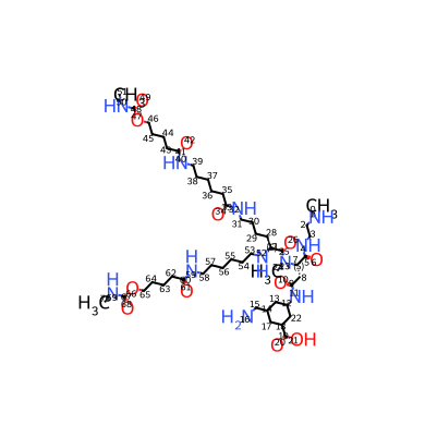 CNCCNC(=O)[C@H](CC(=O)NC1CC(CN)CC(C(=O)O)C1)N(C)C(=O)[C@H](CCCCNC(=O)CCCCCNC(=O)CCCCOC(=O)NC)NCCCCCCNC(=O)CCCCOC(=O)NC